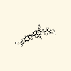 CCC(CC)(c1ccc(OCC(=O)C(C)(C)C)c(C)c1)c1cc2ccc(OS(C)(=O)=O)cc2o1